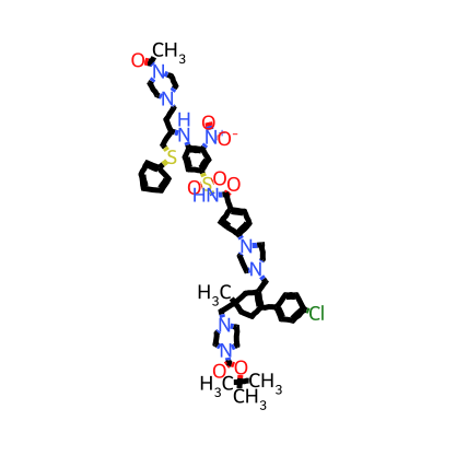 CC(=O)N1CCN(CCC(CSc2ccccc2)Nc2ccc(S(=O)(=O)NC(=O)c3ccc(N4CCN(CC5=C(c6ccc(Cl)cc6)CCC(C)(CN6CCN(C(=O)OC(C)(C)C)CC6)C5)CC4)cc3)cc2[N+](=O)[O-])CC1